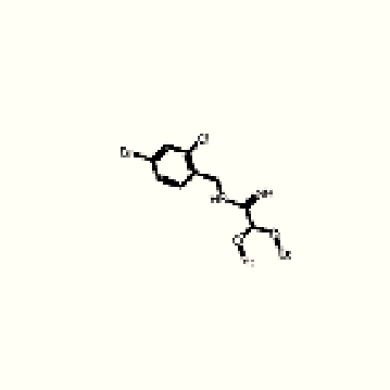 CCOC(OCC)C(=N)NCc1ccc(Br)cc1Cl